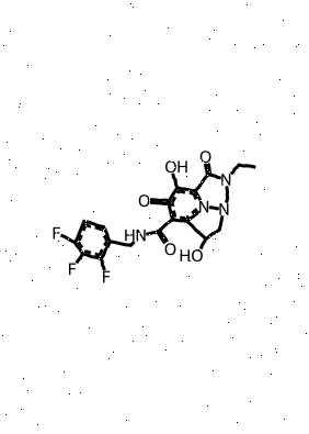 CCN1CN2CC(O)c3c(C(=O)NCc4ccc(F)c(F)c4F)c(=O)c(O)c(n32)C1=O